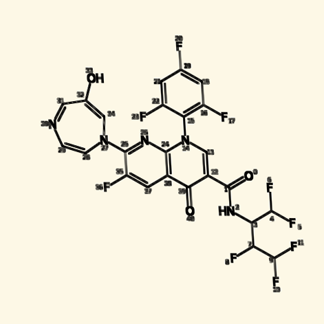 O=C(NC(C(F)F)C(F)C(F)F)c1cn(-c2c(F)cc(F)cc2F)c2nc(N3C=CN=CC(O)=C3)c(F)cc2c1=O